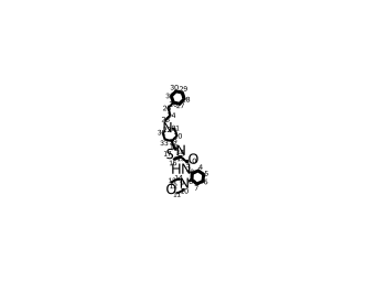 O=C(Nc1ccccc1N1CCOCC1)c1csc(C2CCN(CCCc3ccccc3)CC2)n1